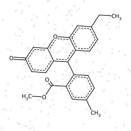 CCc1ccc2c(-c3ccc(C)cc3C(=O)OC)c3ccc(=O)cc-3oc2c1